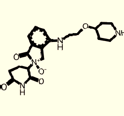 O=C1CCC([N+]2([O-])Cc3c(NCCOC4CCNCC4)cccc3C2=O)C(=O)N1